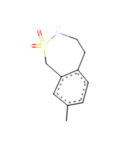 Cc1ccc2c(c1)CS(=O)(=O)NCC2